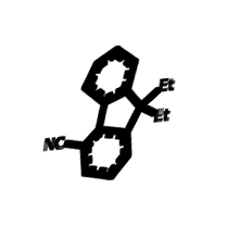 CCC1(CC)c2ccccc2-c2c(C#N)cccc21